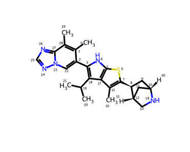 Cc1c(-c2[nH]c3sc([C@H]4C[C@H]5C[C@@H]4CN5)c(C)c3c2C(C)C)cn2ncnc2c1C